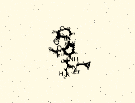 CCN(CC1CC1)[C@@H](CN)C(=O)Nc1ccc(N2CCOCC2=O)c(OC(F)F)c1